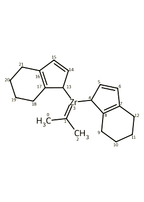 C[C](C)=[Zr]([CH]1C=CC2=C1CCCC2)[CH]1C=CC2=C1CCCC2